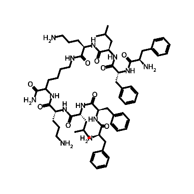 CC(C)C[C@@H](NC(=O)[C@@H](Cc1ccccc1)NC(=O)[C@H](N)Cc1ccccc1)C(=O)N[C@H](CCCN)C(=O)NCCCCC(NC(=O)[C@@H](CCCN)NC(=O)[C@@H](CC(C)C)NC(=O)[C@@H](Cc1ccccc1)NC(=O)[C@H](N)Cc1ccccc1)C(N)=O